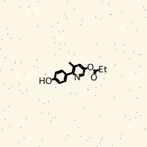 CCC(=O)Oc1cnc(-c2ccc(O)cc2)c(C)c1